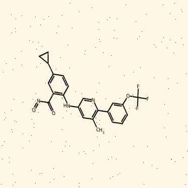 Cc1cc(Nc2ccc(C3CC3)cc2C(=O)N=O)cnc1-c1cccc(OC(F)(F)F)c1